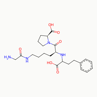 NCC(=O)NCCCC[C@H](NC(CCc1ccccc1)C(=O)O)C(=O)N1CCC[C@H]1C(=O)O